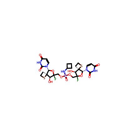 O=c1ccn([C@@H]2O[C@](F)(COP(=O)(NC3CCC3)OC[C@@]3(F)O[C@@H](n4ccc(=O)[nH]c4=O)[C@@]4(CCS4)[C@@H]3O)[C@@H](O)[C@]23CCS3)c(=O)[nH]1